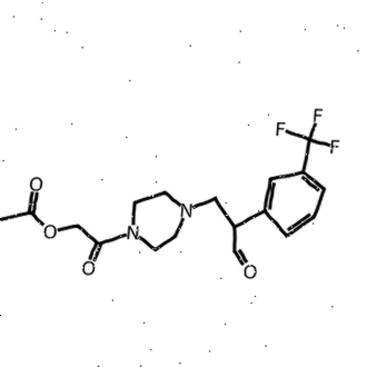 CC(=O)OCC(=O)N1CCN(CC(C=O)c2cccc(C(F)(F)F)c2)CC1